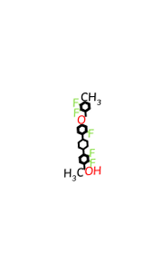 Cc1ccc(COc2ccc(C3CCC(c4ccc(C(C)O)c(F)c4F)CC3)c(F)c2)c(F)c1F